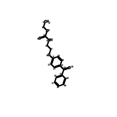 CCOC(=O)NCCOc1ccc(C(=O)c2ccccc2)cc1